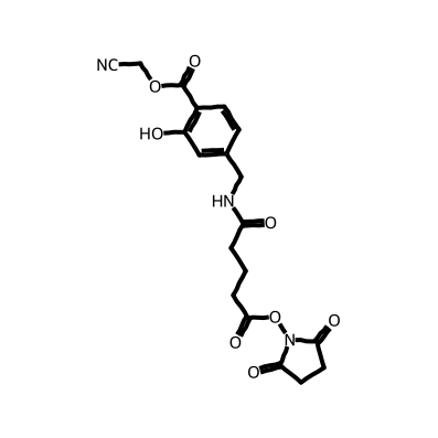 N#CCOC(=O)c1ccc(CNC(=O)CCCC(=O)ON2C(=O)CCC2=O)cc1O